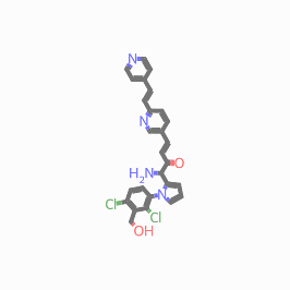 NC(C(=O)/C=C/c1ccc(/C=C/c2ccncc2)nc1)c1cccn1-c1ccc(Cl)c(CO)c1Cl